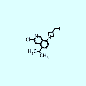 CC(C)c1ccc(N2CC(CI)C2)c2cnc(Cl)cc12